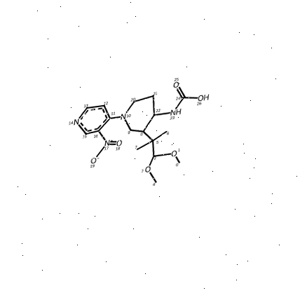 COC(OC)C(C)(C)C1CN(c2ccncc2[N+](=O)[O-])CCC1NC(=O)O